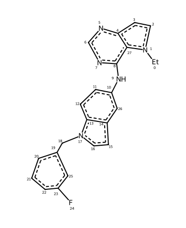 [CH2]Cn1ccc2ncnc(Nc3ccc4c(ccn4Cc4cccc(F)c4)c3)c21